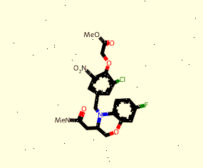 CNC(=O)CC1COc2cc(F)ccc2N1Cc1cc(Cl)c(OCC(=O)OC)c([N+](=O)[O-])c1